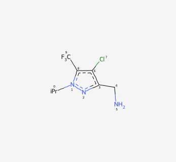 CC(C)n1nc(CN)c(Cl)c1C(F)(F)F